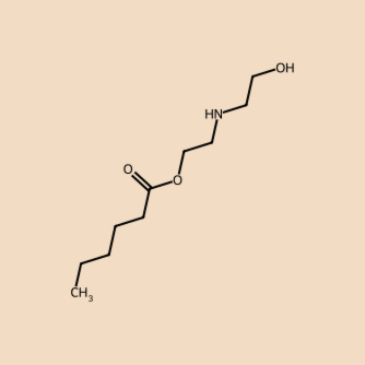 CCCCCC(=O)OCCNCCO